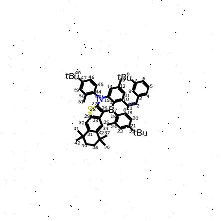 C/C(=C/c1cccc(C(C)(C)C)c1)c1cc(C)cc2c1B(c1ccc(C(C)(C)C)cc1C)c1c(sc3cc4c(cc13)C(C)(C)CCC4(C)C)N2c1ccc(C(C)(C)C)cc1C